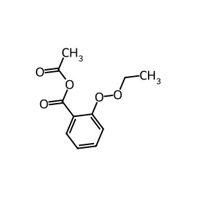 CCOOc1ccccc1C(=O)OC(C)=O